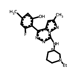 CCN1CCC[C@@H](Nc2nnc(-c3c(O)cc(C)cc3F)c3cc(C)nn23)C1